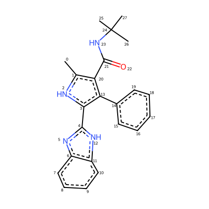 Cc1[nH]c(-c2nc3ccccc3[nH]2)c(-c2ccccc2)c1C(=O)NC(C)(C)C